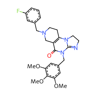 COc1cc(CN2C(=O)C3=C(CCN(Cc4cccc(F)c4)C3)N3CCN=C23)cc(OC)c1OC